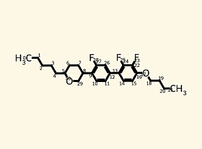 CCCCCC1CCC(c2ccc(-c3ccc(OCCCC)c(F)c3F)cc2F)CO1